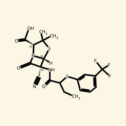 CCC(Sc1cccc(C(F)(F)F)c1)C(=O)N[C@@]1(C#N)C(=O)N2[C@@H](C(=O)O)C(C)(C)S[C@@H]21